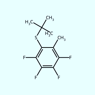 Cc1c(F)c(F)c(F)c(F)c1SC(C)(C)C